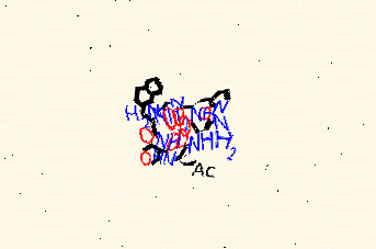 CC(=O)CC[C@H](NC(=O)C1(NC(=O)[C@@H](N)Cc2ccc3ccccc3c2)CCOCC1)C(=O)N[C@@H](CC(N)=O)C(=O)N[C@@H](Cc1cccnc1)C(=O)N(C)CC(N)=O